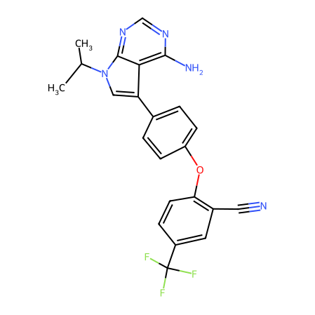 CC(C)n1cc(-c2ccc(Oc3ccc(C(F)(F)F)cc3C#N)cc2)c2c(N)ncnc21